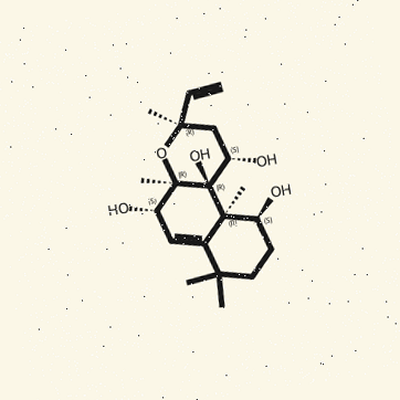 C=C[C@@]1(C)C[C@H](O)[C@@]2(O)[C@](C)(O1)[C@@H](O)C=C1C(C)(C)CC[C@H](O)[C@@]12C